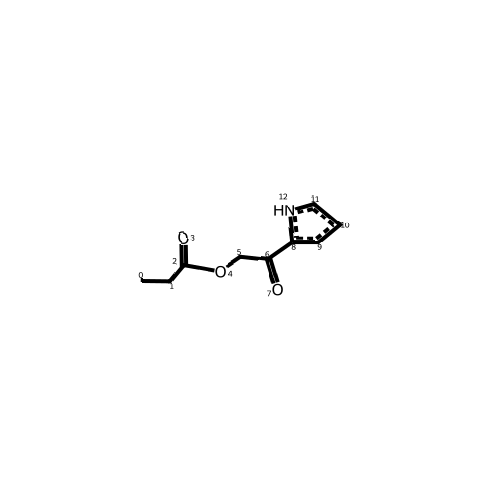 CCC(=O)OCC(=O)c1ccc[nH]1